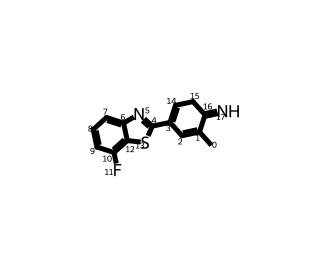 CC1=CC(c2nc3cccc(F)c3s2)=CCC1=N